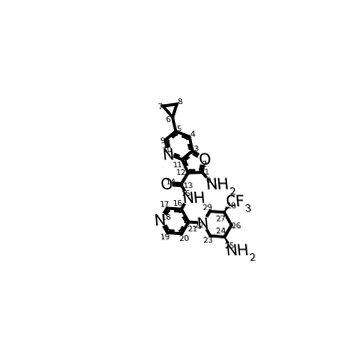 Nc1oc2cc(C3CC3)cnc2c1C(=O)Nc1cnccc1N1C[C@H](N)C[C@H](C(F)(F)F)C1